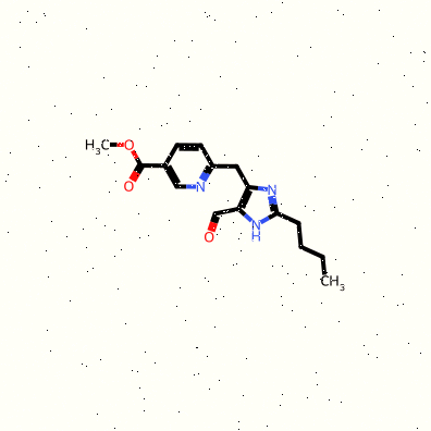 CCCCc1nc(Cc2ccc(C(=O)OC)cn2)c(C=O)[nH]1